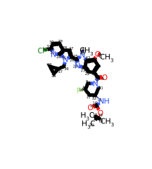 COc1cc(C(=O)N2C[C@H](F)C[C@@H](NC(=O)OC(C)(C)C)C2)cc2nc(-c3cc4ccc(Cl)nc4n3CC3CC3)n(C)c12